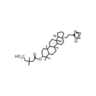 CC(C)(CC(=O)O)CC(=O)O[C@H]1CC[C@@]2(C)C(CC[C@]3(C)C2CC[C@@H]2[C@H]4CCC[C@]4(CCc4nnn[nH]4)CC[C@]23C)C1(C)C